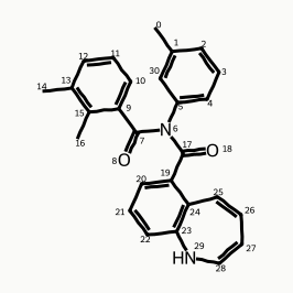 Cc1cccc(N(C(=O)c2cccc(C)c2C)C(=O)c2cccc3c2C=CC=CN3)c1